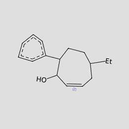 CCC1C/C=C\C(O)C(c2ccccc2)CC1